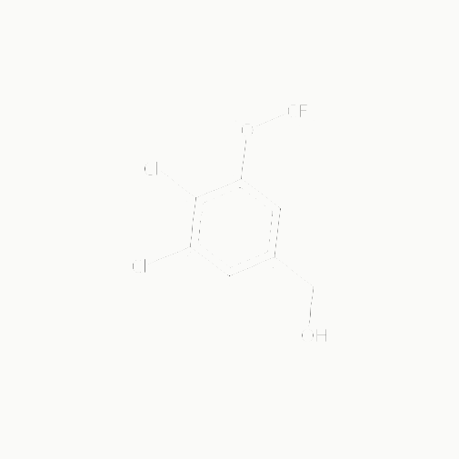 OCc1cc(Cl)c(Cl)c(OC(F)(F)F)c1